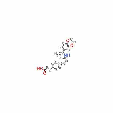 C[C@@H](N[C@H]1CC[C@H](c2ccc(CCC(=O)O)cc2)C1)c1ccc2c(c1)OCCO2